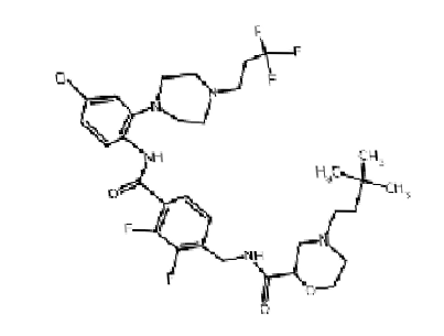 CC(C)(C)CCN1CCOC(C(=O)NCc2ccc(C(=O)Nc3ccc(Cl)cc3N3CCN(CCC(F)(F)F)CC3)c(F)c2F)C1